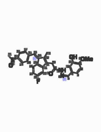 COc1ccc(/C=N\NC(=O)CC2=C(C)/C(=C/c3ccc([S+](C)[O-])cc3)c3ccc(F)cc32)cc1O